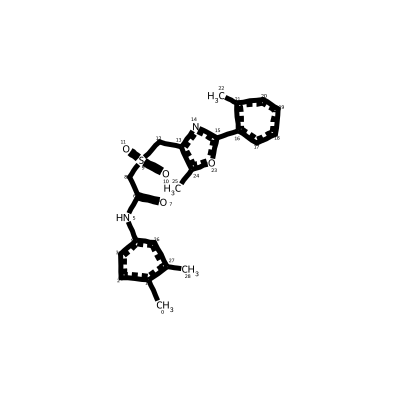 Cc1ccc(NC(=O)CS(=O)(=O)Cc2nc(-c3ccccc3C)oc2C)cc1C